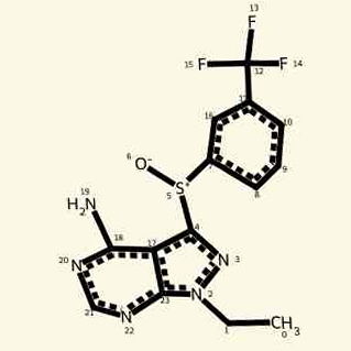 CCn1nc([S+]([O-])c2cccc(C(F)(F)F)c2)c2c(N)ncnc21